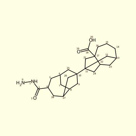 NNC(=O)C1CC2CC3CC(C45CC6CCCC(C(=O)O)(C4)C(C6)C5)(C2)CC3C1